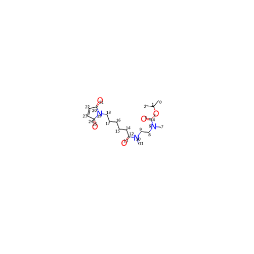 CC(C)OC(=O)N(C)CCN(C)C(=O)CCCCCN1C(=O)C=CC1=O